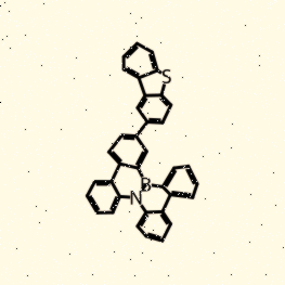 c1ccc2c(c1)B1c3cc(-c4ccc5sc6ccccc6c5c4)ccc3-c3ccccc3N1c1ccccc1-2